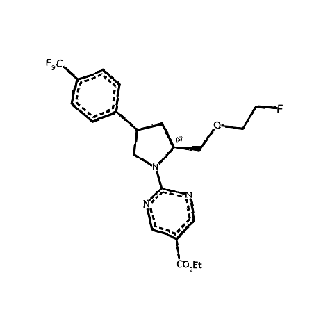 CCOC(=O)c1cnc(N2CC(c3ccc(C(F)(F)F)cc3)C[C@H]2COCCF)nc1